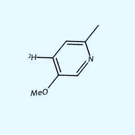 [2H]c1cc(C)ncc1OC